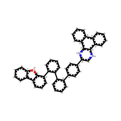 c1ccc(-c2ccccc2-c2cccc3c2oc2ccccc23)c(-c2ccc(-c3cnc4c5ccccc5c5ccccc5c4n3)cc2)c1